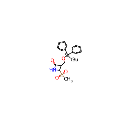 CC(C)(C)[Si](OCC1C(=O)NC1S(C)(=O)=O)(c1ccccc1)c1ccccc1